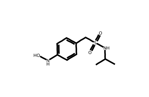 CC(C)NS(=O)(=O)Cc1ccc(NO)cc1